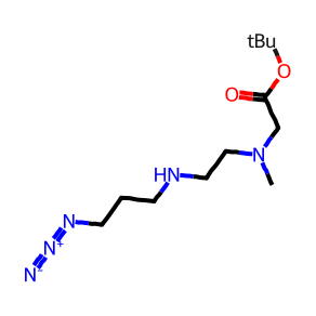 CN(CCNCCCN=[N+]=[N-])CC(=O)OC(C)(C)C